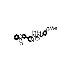 COc1ccc(CNC(=O)Nc2cc(-c3ccnc(Nc4ccccc4)c3)ccn2)cc1